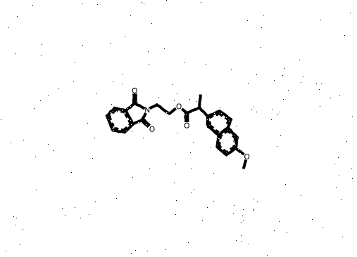 COc1ccc2cc(C(C)C(=O)OCCN3C(=O)c4ccccc4C3=O)ccc2c1